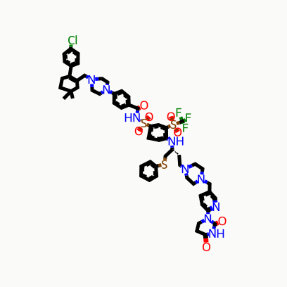 CC1(C)CCC(c2ccc(Cl)cc2)=C(CN2CCN(c3ccc(C(=O)NS(=O)(=O)c4ccc(N[C@H](CCN5CCN(Cc6ccc(N7CCC(=O)NC7=O)nc6)CC5)CSc5ccccc5)c(S(=O)(=O)C(F)(F)F)c4)cc3)CC2)C1